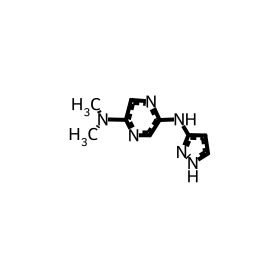 CN(C)c1cnc(Nc2cc[nH]n2)cn1